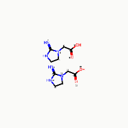 N=C1NCCN1CC(=O)O.N=C1NCCN1CC(=O)O